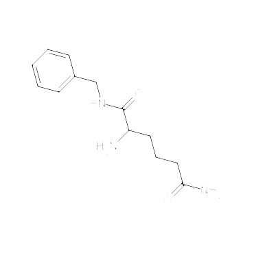 NC(=O)CCCC(N)C(=O)NCc1ccccc1